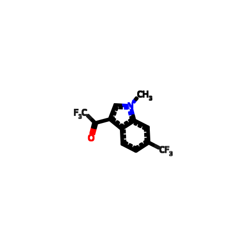 Cn1cc(C(=O)C(F)(F)F)c2ccc(C(F)(F)F)cc21